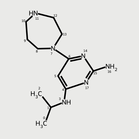 CC(C)Nc1cc(N2CCCNCC2)nc(N)n1